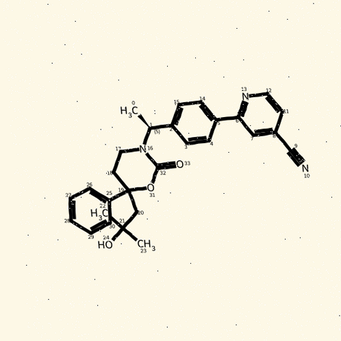 C[C@@H](c1ccc(-c2cc(C#N)ccn2)cc1)N1CCC(CC(C)(C)O)(c2ccccc2)OC1=O